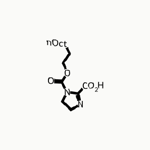 CCCCCCCCCCOC(=O)N1CCN=C1C(=O)O